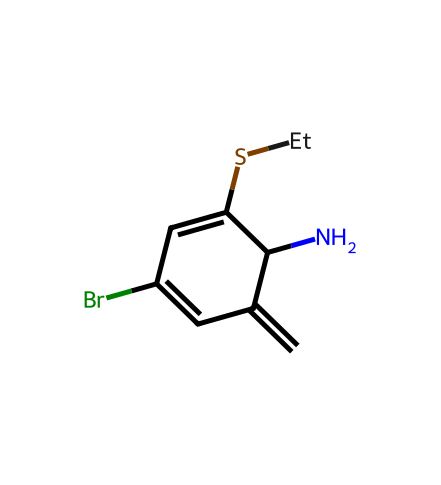 C=C1C=C(Br)C=C(SCC)C1N